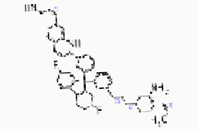 C/C=C\C1=C(N)C/C(=C\C=C\c2cccc(C3(c4cccc(C5C=Cc6ccc(/C=C\C=N)cc6N5)c4)C4=C(CCC(F)=C4)c4ccc(F)cc43)c2)C=C1